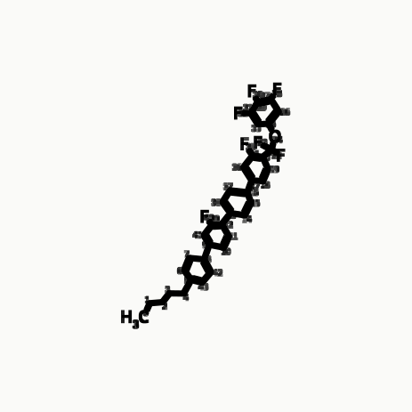 CCCCCc1ccc(-c2ccc(-c3ccc(-c4ccc(C(F)(F)Oc5cc(F)c(F)c(F)c5)c(F)c4)cc3)c(F)c2)cc1